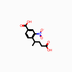 CC(CCC(=O)O)c1ccc(C(=O)O)cc1[N+](=O)[O-]